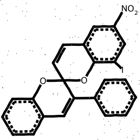 O=[N+]([O-])c1cc(I)c2c(c1)C=CC1(Oc3ccccc3C=C1c1ccccc1)O2